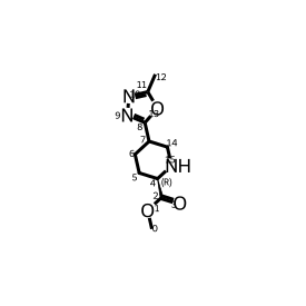 COC(=O)[C@H]1CCC(c2nnc(C)o2)CN1